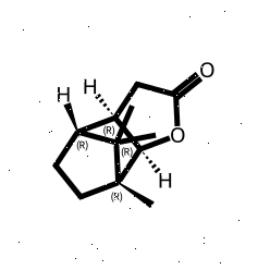 CC1(C)[C@@H]2CC[C@@]1(C)[C@@H]1OC(=O)C[C@H]21